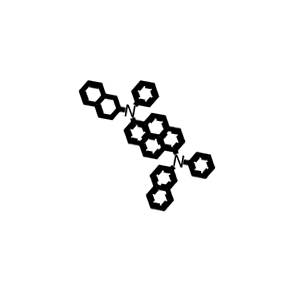 C1=CC2=CCC(N(c3ccccc3)c3ccc4ccc5c(N(c6ccccc6)c6ccc7ccccc7c6)ccc6ccc3c4c65)CC2C=C1